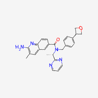 Cc1cc2cc(C(=O)N(Cc3ccc(C4COC4)cc3)[C@@H](C)c3ncccn3)ccc2nc1N